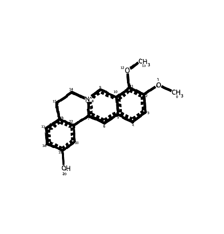 COc1ccc2cc3[n+](cc2c1OC)CCc1ccc(O)cc1-3